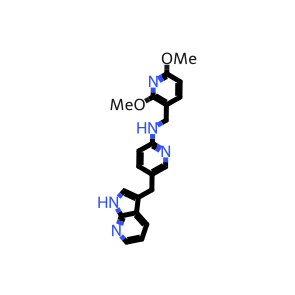 COc1ccc(CNc2ccc(Cc3c[nH]c4ncccc34)cn2)c(OC)n1